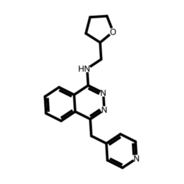 c1ccc2c(NCC3CCCO3)nnc(Cc3ccncc3)c2c1